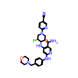 N#Cc1ccc(N2CC[C@@H](Nc3cc(Nc4ccc(CN5CCOCC5)cc4)ncc3C(N)=O)[C@@H](F)C2)nc1